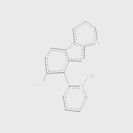 Cc1ccc2c(oc3ncccc32)c1-c1cccc[n+]1C